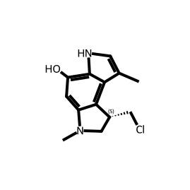 Cc1c[nH]c2c(O)cc3c(c12)[C@H](CCl)CN3C